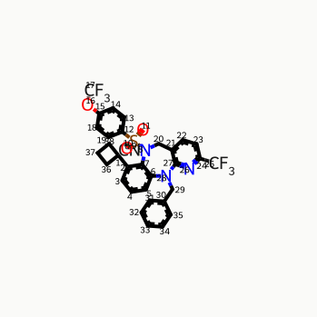 N#CC1(c2cccc3c2N(S(=O)(=O)c2ccc(OC(F)(F)F)cc2)Cc2ccc(C(F)(F)F)nc2N3Cc2ccccc2)CCC1